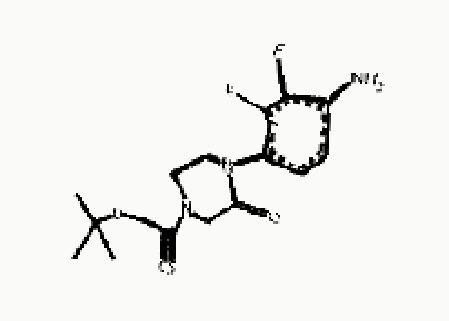 CC(C)(C)OC(=O)N1CCN(c2ccc(N)c(F)c2F)C(=O)C1